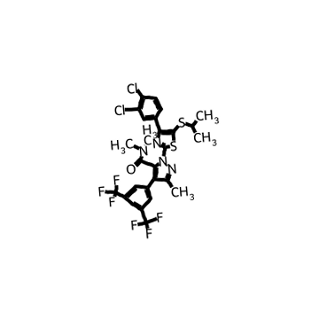 Cc1nn(-c2nc(-c3ccc(Cl)c(Cl)c3)c(SC(C)C)s2)c(C(=O)N(C)C)c1-c1cc(C(F)(F)F)cc(C(F)(F)F)c1